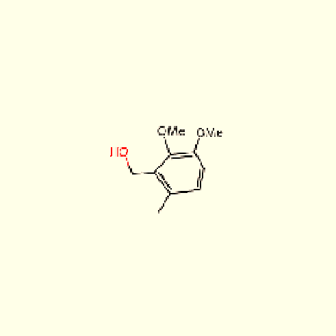 COc1ccc(C)c(CO)c1OC